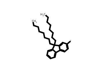 CCCCCCCCC1(CCCCCCCC)c2ccccc2-c2ccc(I)cc21